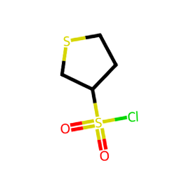 O=S(=O)(Cl)C1CCSC1